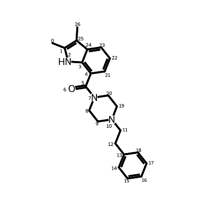 Cc1[nH]c2c(C(=O)N3CCN(CCc4ccccc4)CC3)cccc2c1C